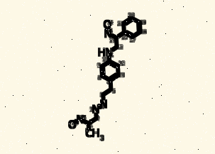 CC(CN=NCCc1ccc(NCC(N=O)c2ccccc2)cc1)N=O